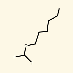 CCCCCCOC(F)F